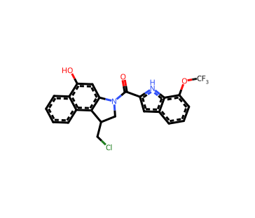 O=C(c1cc2cccc(OC(F)(F)F)c2[nH]1)N1CC(CCl)c2c1cc(O)c1ccccc21